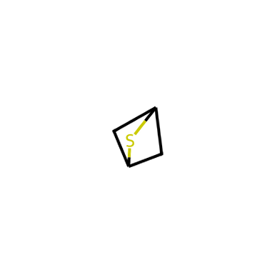 C1C2CC1S2